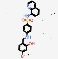 O=S(=O)(Nc1cccc2cccnc12)c1ccc(NCc2ccc(Br)cc2O)cc1